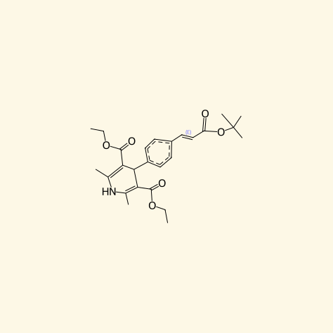 CCOC(=O)C1=C(C)NC(C)=C(C(=O)OCC)C1c1ccc(/C=C/C(=O)OC(C)(C)C)cc1